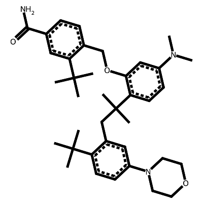 CN(C)c1ccc(C(C)(C)Cc2cc(N3CCOCC3)ccc2C(C)(C)C)c(OCc2ccc(C(N)=O)cc2C(C)(C)C)c1